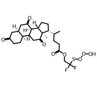 CC(CCC(=O)OCC(F)(F)SOOO)[C@H]1CC[C@H]2[C@@H]3C(=O)C[C@@H]4CC(=O)CC[C@]4(C)[C@H]3CC(=O)[C@]12C